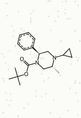 C[C@@H]1CN(C(=O)OC(C)(C)C)[C@@H](c2ccccc2)CN1C1CC1